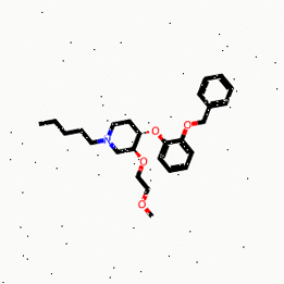 CCCCCN1CC[C@H](Oc2ccccc2OCc2ccccc2)[C@@H](OCCOC)C1